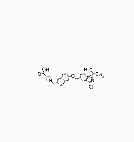 CC(C)n1nc(Cl)c2cc(COc3ccc4cc(CN5CC(C(=O)O)C5)ccc4c3)ccc21